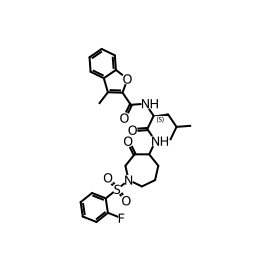 Cc1c(C(=O)N[C@@H](CC(C)C)C(=O)NC2CCCN(S(=O)(=O)c3ccccc3F)CC2=O)oc2ccccc12